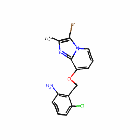 Cc1nc2c(OCc3c(N)cccc3Cl)cccn2c1Br